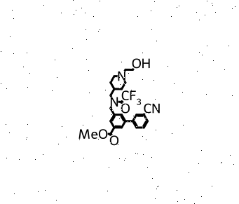 COC(=O)c1cc(CN(CC2CCN(CCO)CC2)C(=O)C(F)(F)F)cc(-c2cccc(C#N)c2)c1